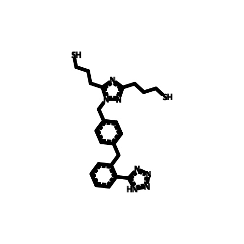 SCCCc1nc(CCCS)n(Cc2ccc(Cc3ccccc3-c3nnn[nH]3)cc2)n1